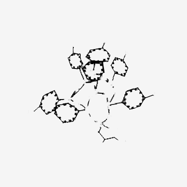 CC(CC(C)(C)C)C[Si]1(C)O[Si]2(c3ccccc3)O[Si]3(c4ccc(Br)cc4)O[Si](O)(c4ccc(Br)cc4)O[Si]4(c5ccc(Br)cc5)O[Si](c5ccc(Br)cc5)(O1)O[Si](c1ccccc1)(O2)O[Si](c1ccc(Br)cc1)(O3)O4